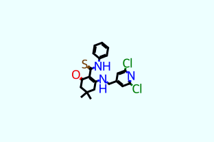 CC1(C)CC(=O)C(C(=S)Nc2ccccc2)=C(NCc2cc(Cl)nc(Cl)c2)C1